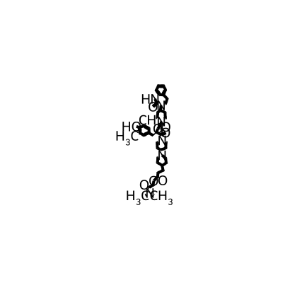 Cc1cc(C[C@@H](OC(=O)N2CCC(N3CCc4ccccc4NC3=O)CC2)C(=O)N2CCC(N3CCC(CCC(=O)OCC(=O)N(C)C)CC3)CC2)cc(C)c1O